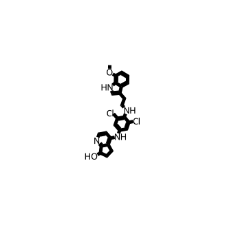 COc1cccc2c(CCNc3c(Cl)cc(Nc4ccnc5c4CCC5O)cc3Cl)c[nH]c12